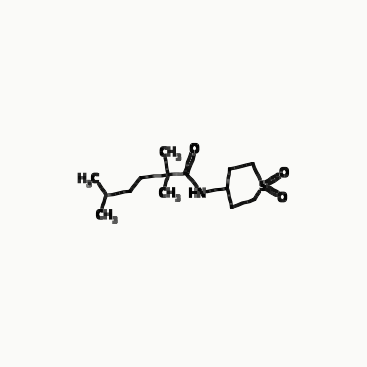 CC(C)CCC(C)(C)C(=O)NC1CCS(=O)(=O)CC1